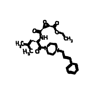 CCOC(=O)[C@@H]1O[C@H]1C(=O)N[C@@H](CC(C)C)C(=O)N1CCN(CC=Cc2ccccc2)CC1